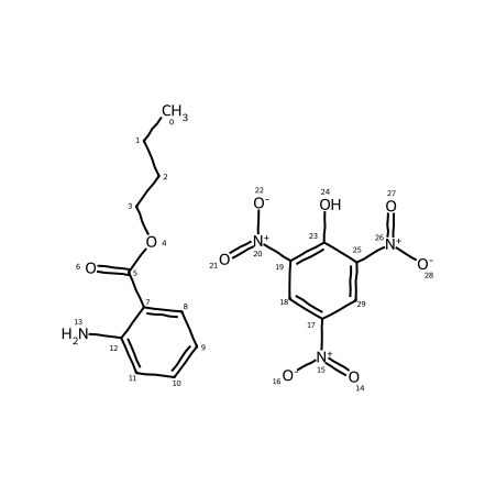 CCCCOC(=O)c1ccccc1N.O=[N+]([O-])c1cc([N+](=O)[O-])c(O)c([N+](=O)[O-])c1